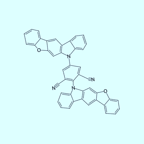 N#Cc1cc(-n2c3ccccc3c3cc4c(cc32)oc2ccccc24)cc(C#N)c1-n1c2ccccc2c2cc3c(cc21)oc1ccccc13